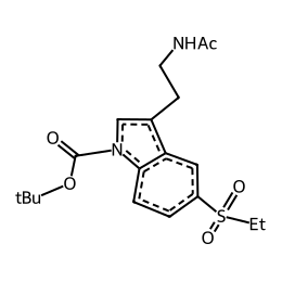 CCS(=O)(=O)c1ccc2c(c1)c(CCNC(C)=O)cn2C(=O)OC(C)(C)C